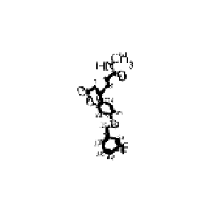 CNC(=O)CCc1cc(=O)oc2cc(OCc3cccc(F)c3)ccc12